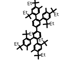 CCC(C)(C)c1cc(C(C)(C)CC)c(-c2ccc(-c3ccc(-c4cc(C)c(C(C)(C)CC)cc4C(C)(C)CC)c(-c4cc(C)c(C(C)(C)CC)cc4C(C)(C)CC)c3)cc2-c2cc(C)c(C(C)(C)CC)cc2C(C)(C)CC)cc1C